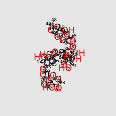 CO[C@H]1[C@H](O)C[C@@H](O[C@@H]2C[C@H](Oc3cc4cc5c(c(O)c4c(O)c3C)C(=O)[C@@H](O[C@H]3C[C@H](O[C@H]4C[C@H](O[C@H]6C[C@@](C)(O)[C@@H](OC(=O)C(C)C)[C@H](C)O6)[C@H](O)[C@@H](C)O4)[C@H](O)[C@@H](C)O3)[C@H]([C@H](OC)C(=O)[C@@H](O)[C@@H](C)O)C5)O[C@H](C)[C@H]2OC(C)=O)O[C@@H]1C